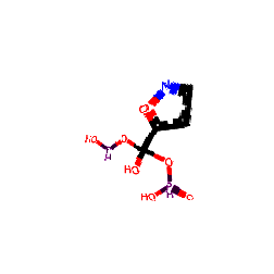 O=[PH](O)OC(O)(OPO)c1ccno1